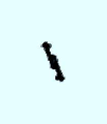 C=C(C)C(=O)OCCCSc1ccc2c(c1)Sc1ccc(SCCCOC(=O)C(=C)C)cc1S2